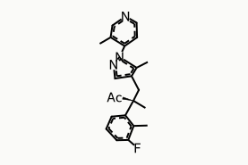 CC(=O)[C@](C)(Cc1cnn(-c2ccncc2C)c1C)c1cccc(F)c1C